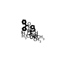 CN[C@@H](C)C(=O)NC(C(=O)N1CCC2CCC(NC(=O)C(c3ccccc3)c3ccc(F)cc3)C21)C(C)(C)C